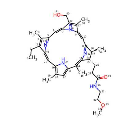 CCC1=C(C)c2cc3[nH]c(cc4nc(c(C)c5cc(C)c(cc1n2)[nH]5)[C@@H](CCC(=O)NCCOC)[C@@H]4C)c(C)c3CO